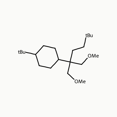 COCC(CCC(C)(C)C)(COC)C1CCC(C(C)(C)C)CC1